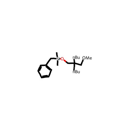 CCCCC(CCCC)(COC)CO[Si](C)(C)Cc1ccccc1